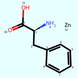 N[C@@H](Cc1ccccc1)C(=O)O.[Zn]